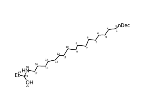 CCCCCCCCCCCCCCCCCCCCCCCCCCCNC(O)CC